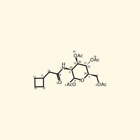 CC(=O)OC[C@H]1OC(OC(C)=O)[C@@H](NC(=O)CC2CCC2)[C@@H](OC(C)=O)[C@@H]1OC(C)=O